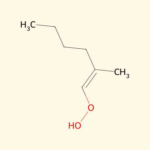 CCCCC(C)=COO